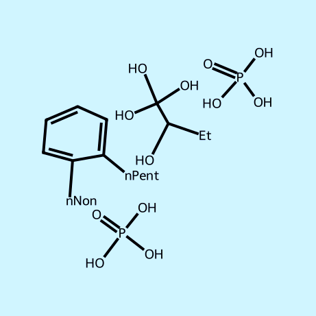 CCC(O)C(O)(O)O.CCCCCCCCCc1ccccc1CCCCC.O=P(O)(O)O.O=P(O)(O)O